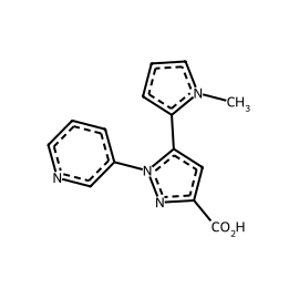 Cn1cccc1-c1cc(C(=O)O)nn1-c1cccnc1